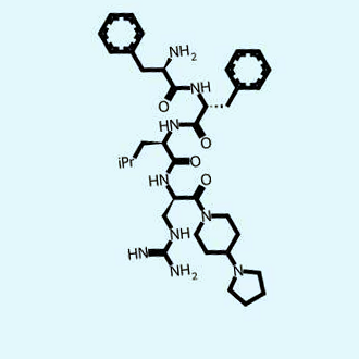 CC(C)C[C@@H](NC(=O)[C@@H](Cc1ccccc1)NC(=O)[C@H](N)Cc1ccccc1)C(=O)N[C@H](CNC(=N)N)C(=O)N1CCC(N2CCCC2)CC1